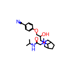 CC(C)NC(=O)CN(C)C1C2CCC1CN(CC(O)COc1ccc(C#N)cc1)C2